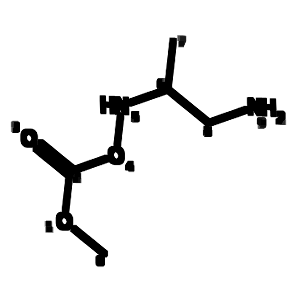 COC(=O)ONC(C)CN